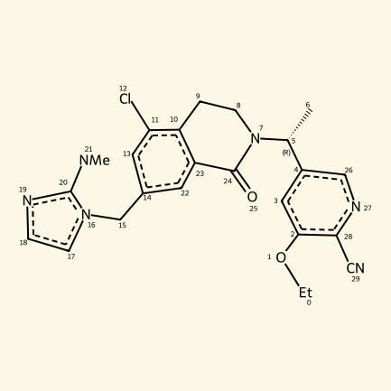 CCOc1cc([C@@H](C)N2CCc3c(Cl)cc(Cn4ccnc4NC)cc3C2=O)cnc1C#N